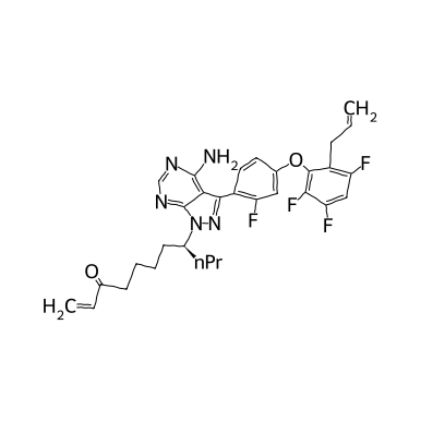 C=CCc1c(F)cc(F)c(F)c1Oc1ccc(-c2nn([C@@H](CCC)CCCCC(=O)C=C)c3ncnc(N)c23)c(F)c1